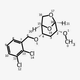 CO[C@@H]1C[C@H](OCc2cccc(Cl)c2Cl)[C@H]2CO[C@@H]1O2